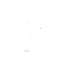 COc1c(CC(NC(=O)C(C)(C)N=[N+]=[N-])B2O[C@@H]3C[C@@H]4C[C@@H](C4(C)C)[C@]3(C)O2)cccc1C(=O)OC(C)(C)C